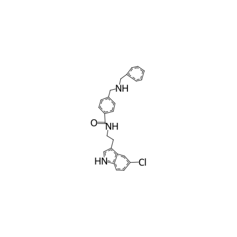 O=C(NCCc1c[nH]c2ccc(Cl)cc12)c1ccc(CNCc2ccccc2)cc1